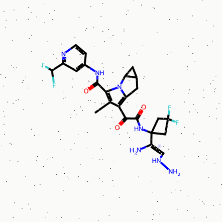 Cc1c(C(=O)C(=O)NC2(/C(N)=C/NN)CC(F)(F)C2)c2n(c1C(=O)Nc1ccnc(C(F)F)c1)C1CC1C2